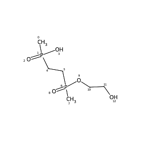 CP(=O)(O)CCP(C)(=O)OCCO